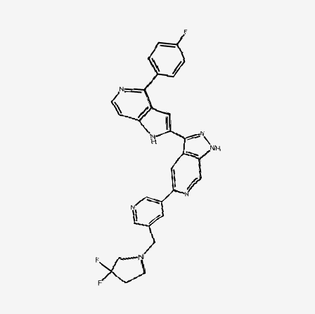 Fc1ccc(-c2nccc3[nH]c(-c4n[nH]c5cnc(-c6cncc(CN7CCC(F)(F)C7)c6)cc45)cc23)cc1